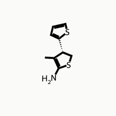 CC1=C(N)SC[C@H]1c1cccs1